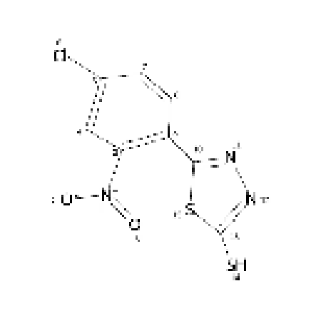 O=[N+]([O-])c1cc(Cl)ccc1-c1nnc(S)s1